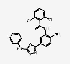 C=C(Nc1cc(-c2nnc(Nc3cccnc3)o2)ccc1N)c1c(Cl)cccc1Cl